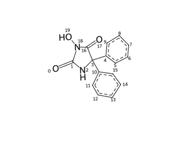 O=C1NC(c2ccccc2)(c2ccccc2)C(=O)N1O